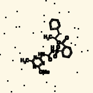 COc1nc(C)nc(NC(=O)NS(=O)(=O)c2ccccc2C(=O)OC(C)Cc2ccccc2)n1